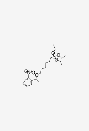 CCO[Si](CCCCCCOC(C)c1ccccc1[N+](=O)[O-])(OCC)OCC